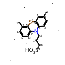 Cc1ccc2c(c1)Sc1c(C)cccc1N2CCCS(=O)(=O)O